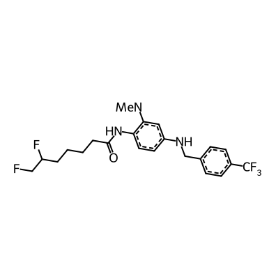 CNc1cc(NCc2ccc(C(F)(F)F)cc2)ccc1NC(=O)CCCCC(F)CF